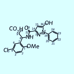 COc1ccc(Cl)cc1C(CC(=O)O)NC(=O)c1cc(O)n(-c2ccccc2)n1